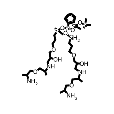 CC(N)COCC(C)NCC(O)COCCC[SiH2]O[Si](O[Si](C)(C)CCCOCC(O)CNC(C)COCC(C)N)(O[Si](C)(C)O[Si](C)(C)C)c1ccccc1